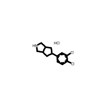 Cl.Clc1ccc(C2CC3CNCC3C2)cc1Cl